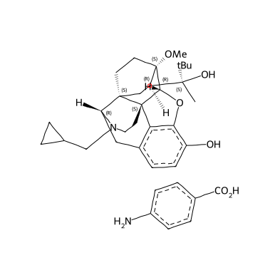 CO[C@@]12CC[C@@]3(C[C@@H]1[C@](C)(O)C(C)(C)C)[C@H]1Cc4ccc(O)c5c4[C@@]3(CCN1CC1CC1)[C@H]2O5.Nc1ccc(C(=O)O)cc1